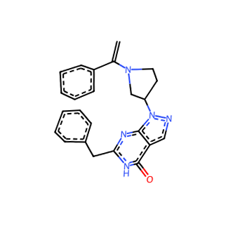 C=C(c1ccccc1)N1CCC(n2ncc3c(=O)[nH]c(Cc4ccccc4)nc32)C1